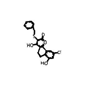 O=c1oc2c(c(O)c1SCc1ccccc1)CCc1c(O)cc(Cl)cc1-2